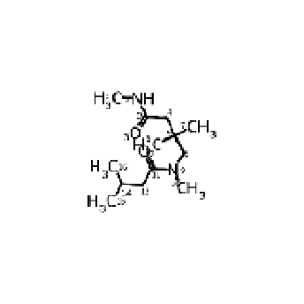 CNC(=O)CC(C)(C)CN(C)C(=O)CC(C)C